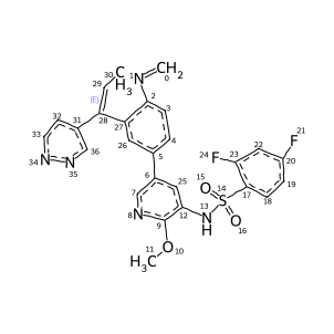 C=Nc1ccc(-c2cnc(OC)c(NS(=O)(=O)c3ccc(F)cc3F)c2)cc1/C(=C\C)c1ccnnc1